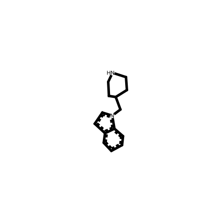 [c]1cc2ccccc2n1CC1CCNCC1